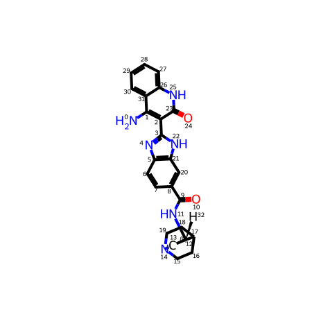 Nc1c(-c2nc3ccc(C(=O)N[C@H]4CN5CCC4CC5)cc3[nH]2)c(=O)[nH]c2ccccc12